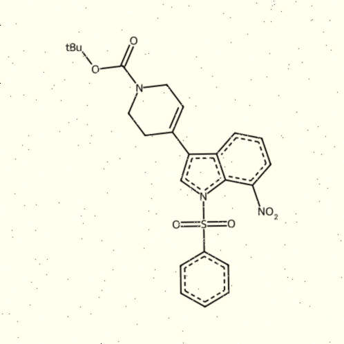 CC(C)(C)OC(=O)N1CC=C(c2cn(S(=O)(=O)c3ccccc3)c3c([N+](=O)[O-])cccc23)CC1